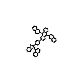 c1ccc2cc(-c3c4ccccc4c(-c4ccc5ccccc5c4)c4cc(-c5ccc(-c6nc7ccccc7n6-c6cccc7ccccc67)cc5)ccc34)ccc2c1